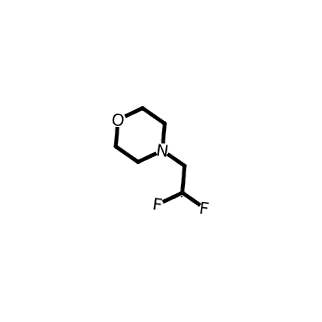 F[C](F)CN1CCOCC1